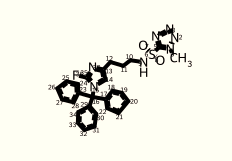 Cn1nnnc1S(=O)(=O)NCCCc1cn(C(c2ccccc2)(c2ccccc2)c2ccccc2)c(F)n1